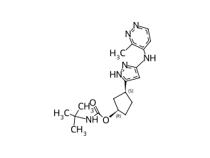 Cc1nnccc1Nc1cc([C@H]2CC[C@@H](OC(=O)NC(C)(C)C)C2)[nH]n1